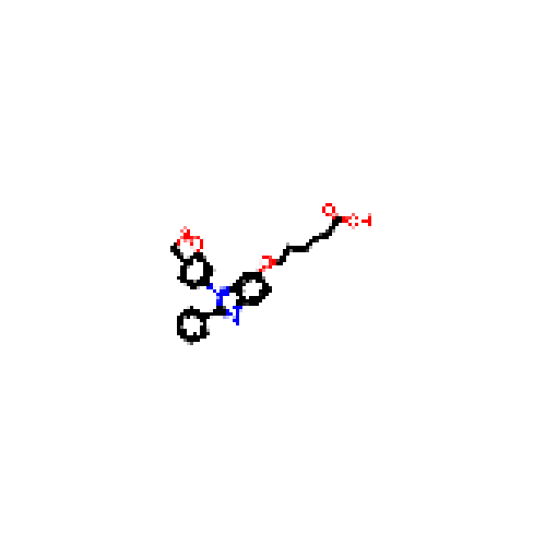 O=C(O)CCCCCOc1ccc2nc(-c3ccccc3)n(-c3ccc4c(c3)OOC4)c2c1